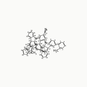 Cc1ccccc1-c1ccc2c(c1)c1ccccc1n2-c1cc(C#N)cc(-n2c3ccccc3c3cc(-c4ccccc4C)ccc32)c1-c1nc(-c2ccccc2)nc(-c2ccccc2)n1